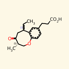 C/C=C1/CC(=O)[C@@H](C)COc2ccc(CCC(=O)O)cc21